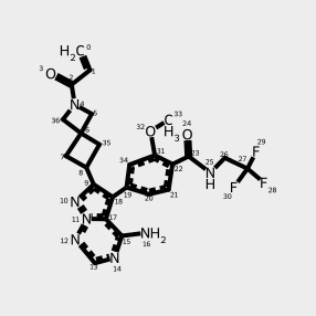 C=CC(=O)N1CC2(CC(c3nn4ncnc(N)c4c3-c3ccc(C(=O)NCC(F)(F)F)c(OC)c3)C2)C1